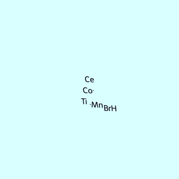 Br.[Ce].[Co].[Mn].[Ti]